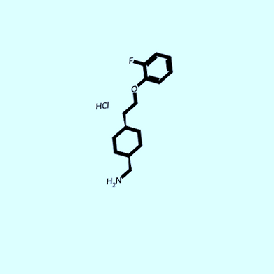 Cl.NC[C@H]1CC[C@@H](CCOc2ccccc2F)CC1